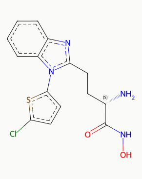 N[C@@H](CCc1nc2ccccc2n1-c1ccc(Cl)s1)C(=O)NO